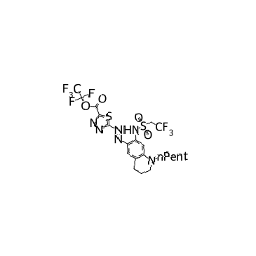 CCCCCN1CCCc2cc(N=Nc3nnc(C(=O)OC(F)(F)C(F)(F)F)s3)c(NS(=O)(=O)CC(F)(F)F)cc21